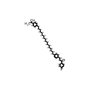 C=C(C)c1ccc(CCCCCCCCCCCCCCCCCCc2ccc(/C=C/C(=O)c3ccc(F)cc3)cc2)cc1